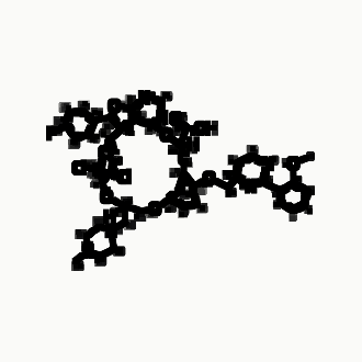 COc1ccccc1-c1nccc(COc2ccc3cc2C[C@@H](C(=O)O)Oc2ncnc4oc(-c5ccc(F)cc5)c(c24)-c2cc(Cl)c(c(Cl)c2)O[C@H](CN2CCN(C)CC2)CO3)n1